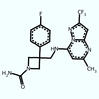 Cc1cc(NCC2(c3ccc(F)cc3)CN(C(N)=O)C2)n2nc(C(F)(F)F)cc2n1